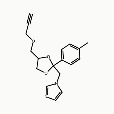 C#CCOCC1COC(Cn2ccnc2)(c2ccc(C)cc2)O1